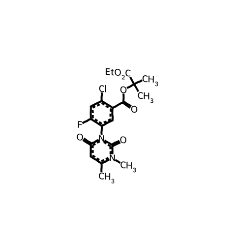 CCOC(=O)C(C)(C)OC(=O)c1cc(-n2c(=O)cc(C)n(C)c2=O)c(F)cc1Cl